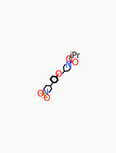 CC(C)OC(=O)N1CCC(COc2ccc(C3CCN(S(C)(=O)=O)CC3)cc2)CC1